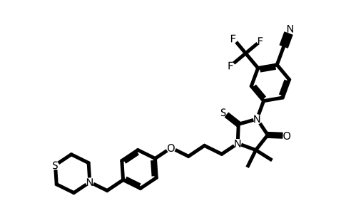 CC1(C)C(=O)N(c2ccc(C#N)c(C(F)(F)F)c2)C(=S)N1CCCOc1ccc(CN2CCSCC2)cc1